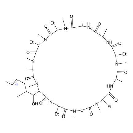 C/C=C/CC(C)C(O)C1C(=O)NC(CC)C(=O)N(C)CC(=O)N(C)C(CC)C(=O)NC(C)C(=O)N(C)C(CC)C(=O)NC(C)C(=O)NC(C)C(=O)N(C)C(CC)C(=O)N(C)C(CC)C(=O)N(C)C(C)C(=O)N1C